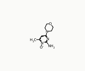 Cc1cc(N2CCOCC2)nc(N)[n+]1[O-]